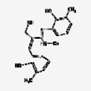 Cc1cccc(C=C(C[NH])C(=Cc2cccc(C)c2O)[NH][Co])c1O